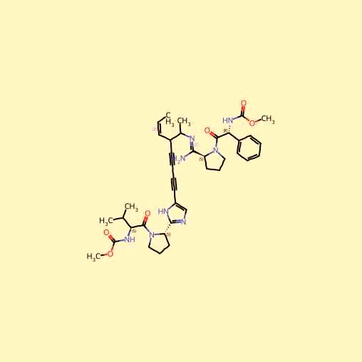 C/C=C\C(C#CC#Cc1cnc([C@@H]2CCCN2C(=O)[C@@H](NC(=O)OC)C(C)C)[nH]1)C(C)/N=C(\N)[C@@H]1CCCN1C(=O)[C@H](NC(=O)OC)c1ccccc1